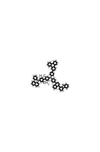 Cc1cc(N(c2ccc(-c3ccc4c5ccccc5c5ccccc5c4c3)cc2)c2ccc(-c3ccc(-c4cccc5c4sc4ccccc45)c4ccccc34)cc2)ccc1-c1ccc(N(c2ccccc2)c2cccc3ccccc23)cc1C